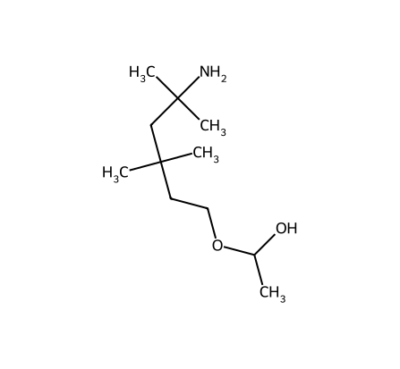 CC(O)OCCC(C)(C)CC(C)(C)N